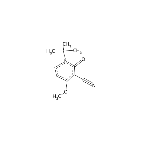 COc1ccn(C(C)(C)C)c(=O)c1C#N